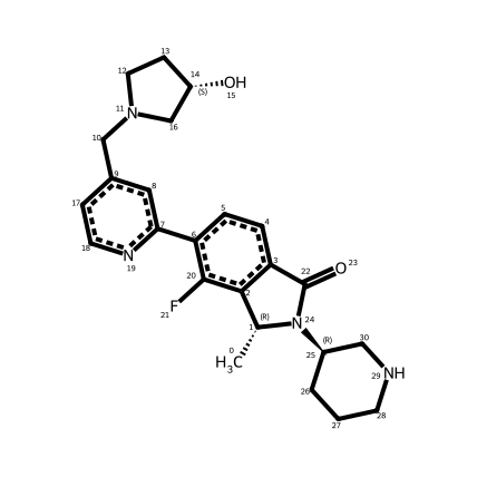 C[C@@H]1c2c(ccc(-c3cc(CN4CC[C@H](O)C4)ccn3)c2F)C(=O)N1[C@@H]1CCCNC1